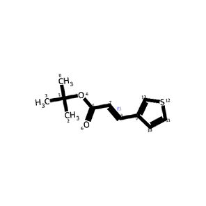 CC(C)(C)OC(=O)/C=C/c1ccsc1